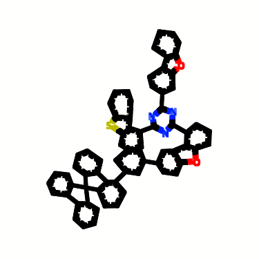 c1cc(-c2ccc3oc4cccc(-c5nc(-c6ccc7c(c6)oc6ccccc67)nc(-c6cccc7sc8ccccc8c67)n5)c4c3c2)cc(-c2cccc3c2-c2ccccc2C32c3ccccc3-c3ccccc32)c1